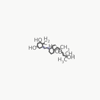 C=C1/C(=C\C=C2/CCC[C@]3(C)[C@@H]([C@H](C)OCCC(C)(C)O)CC[C@@H]23)C[C@H](O)C[C@H]1O